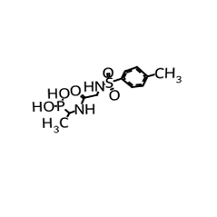 Cc1ccc(S(=O)(=O)NCC(=O)NC(C)P(O)O)cc1